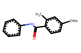 COc1ccc(C(=O)Nc2ccccc2)c(C)c1